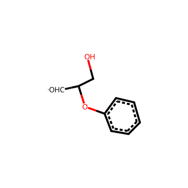 O=[C]C(CO)Oc1ccccc1